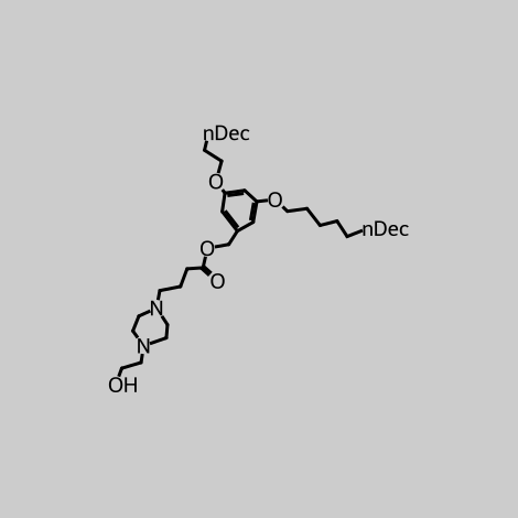 CCCCCCCCCCCCCCCOc1cc(COC(=O)CCCN2CCN(CCO)CC2)cc(OCCCCCCCCCCCC)c1